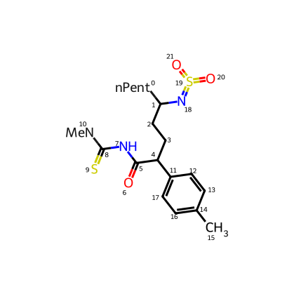 CCCCCC(CCC(C(=O)NC(=S)NC)c1ccc(C)cc1)N=S(=O)=O